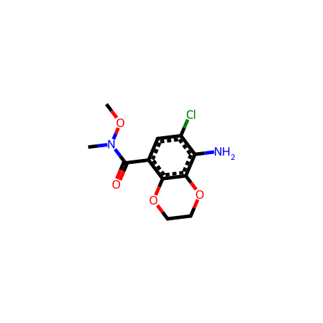 CON(C)C(=O)c1cc(Cl)c(N)c2c1OCCO2